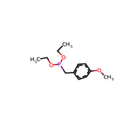 CCOP(Cc1ccc(OC)cc1)OCC